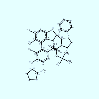 CC(C)(C)OC(=O)N1CCC[C@H]1[C@@]1(c2ccccc2)Cc2c(cc(F)c(Cl)c2-c2c(C(=O)O)cnc(O[C@H]3CCC[C@H]3O)c2F)O1